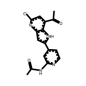 CC(=O)Nc1cc(-c2cc3nc(Cl)cc(C(C)=O)c3[nH]2)ccn1